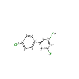 Fc1[c]c(-c2ccc(Cl)cc2)cc(F)c1